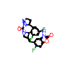 O=C(N1CC(=Cc2cc3[nH]c(=O)oc3cc2F)C1)N1N=CCC1c1cc(F)cc(F)c1